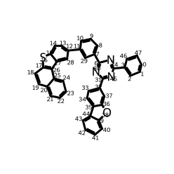 c1ccc(-c2nc(-c3cccc(-c4ccc5sc6ccc7ccccc7c6c5c4)c3)nc(-c3ccc4c(c3)oc3ccccc34)n2)cc1